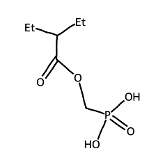 CCC(CC)C(=O)OCP(=O)(O)O